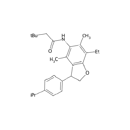 CCc1c(C)c(NC(=O)CC(C)(C)C)c(C)c2c1OCC2c1ccc(C(C)C)cc1